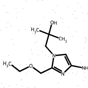 CCOCc1nc(N)cn1CC(C)(C)O